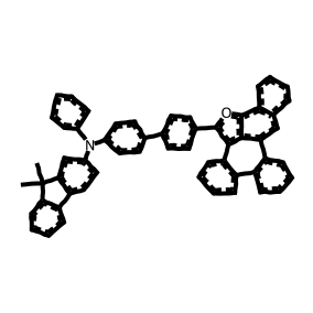 CC1(C)c2ccccc2-c2ccc(N(c3ccccc3)c3ccc(-c4ccc(-c5oc6c7c(cc8ccccc86)-c6ccccc6-c6ccccc6-c57)cc4)cc3)cc21